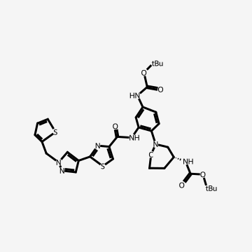 CC(C)(C)OC(=O)Nc1ccc(N2CCC[C@@H](NC(=O)OC(C)(C)C)C2)c(NC(=O)c2csc(-c3cnn(Cc4cccs4)c3)n2)c1